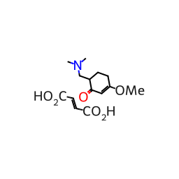 COC1=CC(=O)C(CN(C)C)CC1.O=C(O)C=CC(=O)O